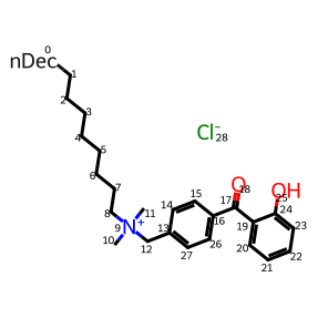 CCCCCCCCCCCCCCCCCC[N+](C)(C)Cc1ccc(C(=O)c2ccccc2O)cc1.[Cl-]